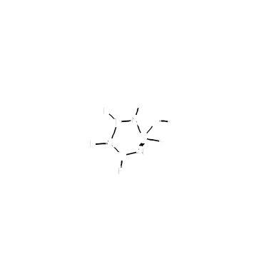 CCCOP1(F)=NP(F)N(F)P(F)N1F